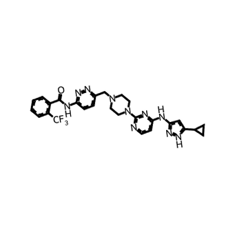 O=C(Nc1ccc(CN2CCN(c3nccc(Nc4cc(C5CC5)[nH]n4)n3)CC2)nn1)c1ccccc1C(F)(F)F